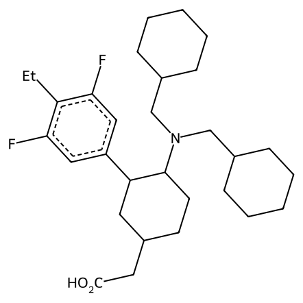 CCc1c(F)cc(C2CC(CC(=O)O)CCC2N(CC2CCCCC2)CC2CCCCC2)cc1F